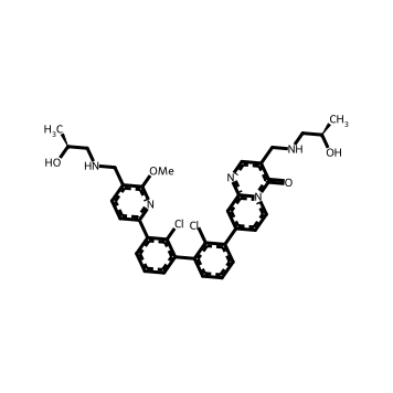 COc1nc(-c2cccc(-c3cccc(-c4ccn5c(=O)c(CNC[C@@H](C)O)cnc5c4)c3Cl)c2Cl)ccc1CNC[C@H](C)O